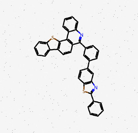 c1ccc(-c2nc3cc(-c4cccc(-c5nc6ccccc6c6c5ccc5c7ccccc7sc56)c4)ccc3s2)cc1